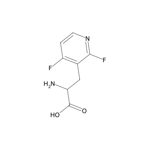 NC(Cc1c(F)ccnc1F)C(=O)O